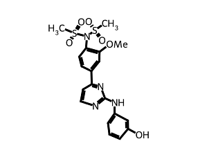 COc1cc(-c2ccnc(Nc3cccc(O)c3)n2)ccc1N(S(C)(=O)=O)S(C)(=O)=O